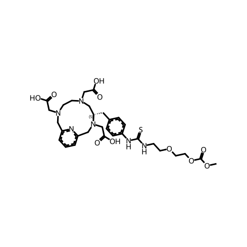 COC(=O)OCCOCCNC(=S)Nc1ccc(C[C@H]2CN(CC(=O)O)CCN(CC(=O)O)Cc3cccc(n3)CN2CC(=O)O)cc1